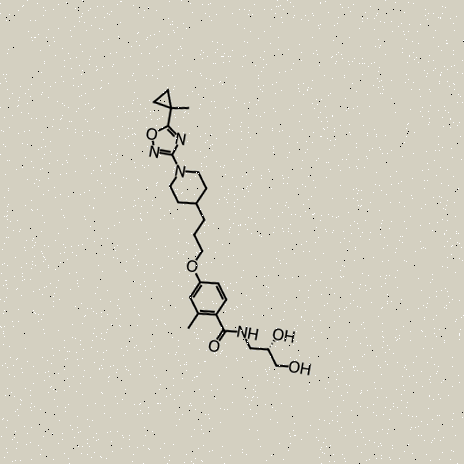 Cc1cc(OCCCC2CCN(c3noc(C4(C)CC4)n3)CC2)ccc1C(=O)NC[C@H](O)CO